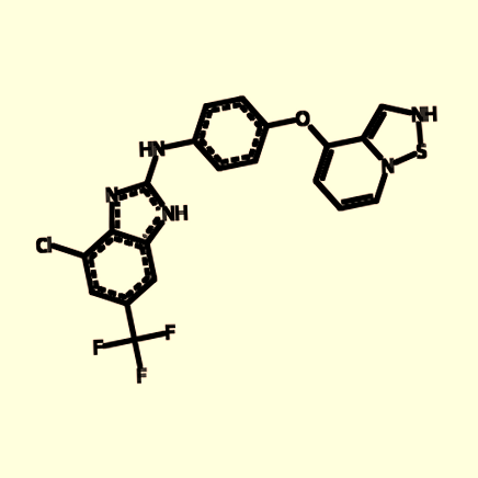 FC(F)(F)c1cc(Cl)c2nc(Nc3ccc(OC4=CC=CN5SNC=C45)cc3)[nH]c2c1